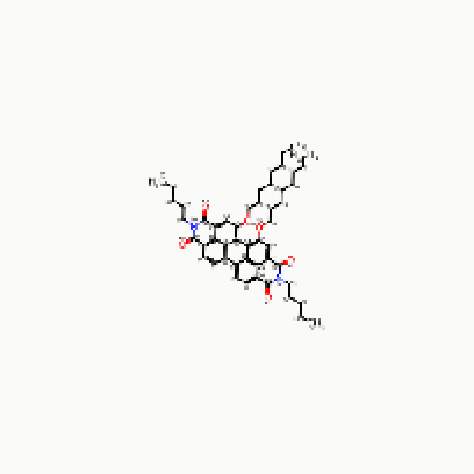 CCCCCCCCOc1cc2c3c(ccc4c5ccc6c7c(cc(OCCCCCCCC)c(c1c34)c75)C(=O)N(CCCCC)C6=O)C(=O)N(CCCCC)C2=O